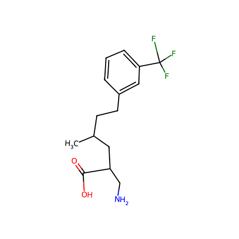 CC(CCc1cccc(C(F)(F)F)c1)CC(CN)C(=O)O